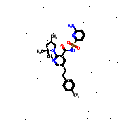 CC1CN(c2ncc(CCc3ccc(C(F)(F)F)cc3)cc2C(=O)NS(=O)(=O)c2cccc(N)n2)C(C)(C)C1